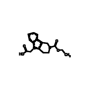 CCOC(=O)N1CCc2c(c3ccccc3n2CC(=O)O)C1